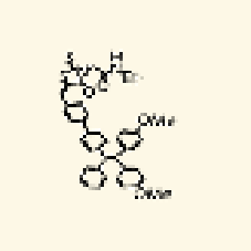 C[CH]NC(=O)CN1C(=O)/C(=C\c2ccc(-c3ccc(C(=C(c4ccc(OC)cc4)c4ccc(OC)cc4)c4ccccc4)cc3)cc2)SC1=S